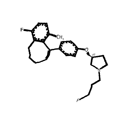 Cc1ccc(F)c2c1C(c1ccc(O[C@H]3CCN(CCCF)C3)cc1)=CCCC2